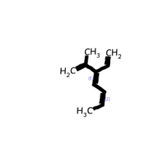 C=C/C(=C\C=C/C)C(=C)C